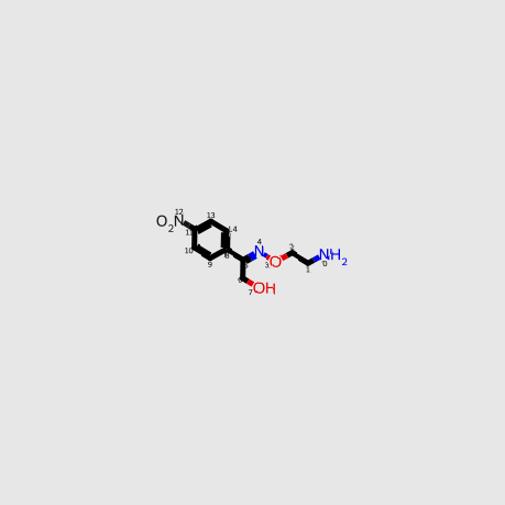 NCCON=C(CO)c1ccc([N+](=O)[O-])cc1